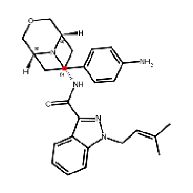 CC(C)=CCn1nc(C(=O)N[C@H]2C[C@H]3COC[C@@H](C2)N3Cc2ccc(N)cc2)c2ccccc21